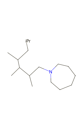 CC(C)CC(C)C(C)C(C)CN1CCCCCC1